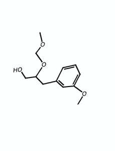 COCOC(CO)Cc1cccc(OC)c1